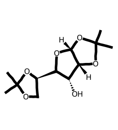 CC1(C)O[C@H]2OC([C@H]3COC(C)(C)O3)[C@@H](O)[C@H]2O1